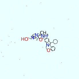 CC(C)(CN1CCN(CCO)CC1)NC(=O)c1ccc2c(C3CCCCC3)c3n(c2c1)CCOc1ccccc1-3